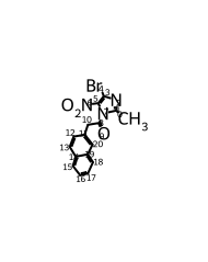 Cc1nc(Br)c([N+](=O)[O-])n1C(=O)Cc1ccc2ccccc2c1